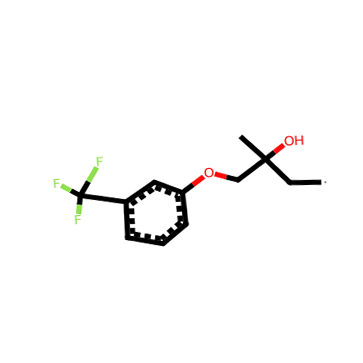 [CH2]CC(C)(O)COc1cccc(C(F)(F)F)c1